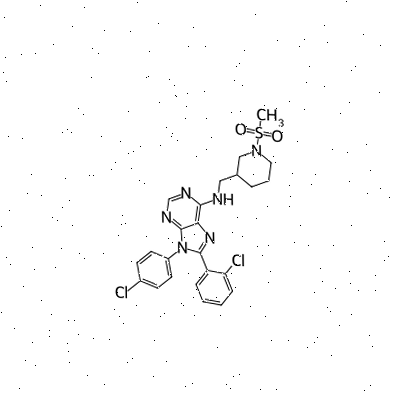 CS(=O)(=O)N1CCCC(CNc2ncnc3c2nc(-c2ccccc2Cl)n3-c2ccc(Cl)cc2)C1